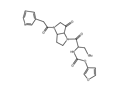 CC(C)(C)CC(NC(=O)Oc1ccoc1)C(=O)N1CCC2C1C(=O)CN2C(=O)Cc1cccnc1